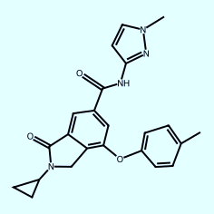 Cc1ccc(Oc2cc(C(=O)Nc3ccn(C)n3)cc3c2CN(C2CC2)C3=O)cc1